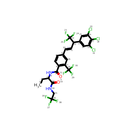 CCC(NC(=O)c1ccc(/C=C/C(c2cc(Cl)c(Cl)c(Cl)c2)C(F)(F)F)cc1C(F)(F)F)C(=O)NCC(F)(F)F